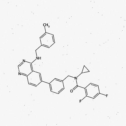 Cc1cccc(CNc2ncnc3ccc(-c4cccc(CN(C(=O)c5ccc(F)cc5F)C5CC5)c4)cc23)c1